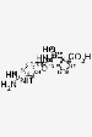 N=C(N)NC1CCC(CC(=O)N[C@H]2Cc3cccc(C(=O)O)c3OB2O)CC1